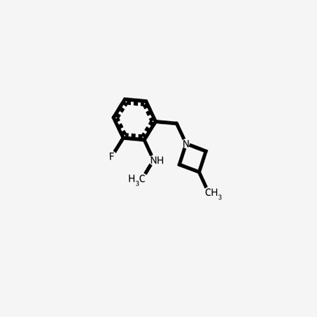 CNc1c(F)cccc1CN1CC(C)C1